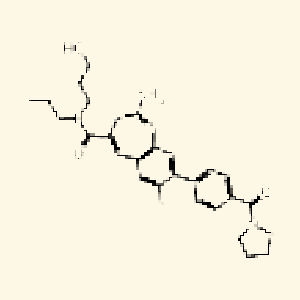 CCCN(CCCO)C(=O)C1=Cc2cc(C)c(-c3ccc(C(=O)N4CCCC4)cc3)cc2N=C(N)C1